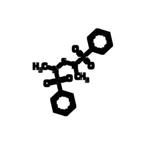 CN(SN(C)S(=O)(=O)c1ccccc1)S(=O)(=O)c1ccccc1